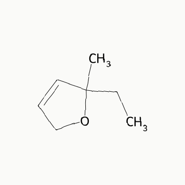 CCC1(C)C=CCO1